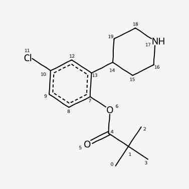 CC(C)(C)C(=O)Oc1ccc(Cl)cc1C1CCNCC1